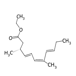 CC/C=C/C(C)=C\C=C\[C@H](C)CC(=O)OCC